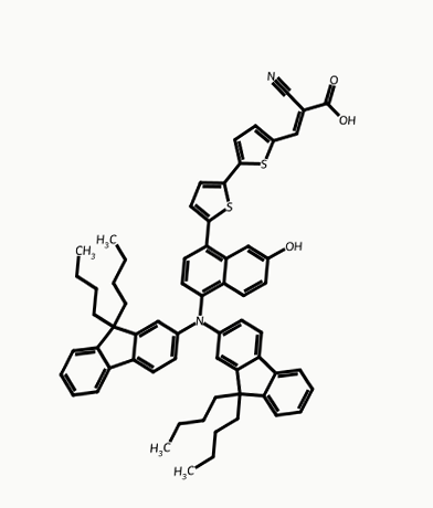 CCCCC1(CCCC)c2ccccc2-c2ccc(N(c3ccc4c(c3)C(CCCC)(CCCC)c3ccccc3-4)c3ccc(-c4ccc(-c5ccc(/C=C(\C#N)C(=O)O)s5)s4)c4cc(O)ccc34)cc21